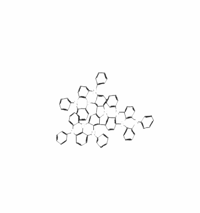 c1ccc(N2c3ccccc3B3c4c2cccc4N(c2ccccc2)c2ccc4c(c23)c2cc3c(c5c6ccc7c(c6n4c25)N(c2ccccc2)c2cccc4c2B7c2ccccc2N4c2ccccc2)N(c2ccccc2)c2cccc4c2B3c2ccccc2N4c2ccccc2)cc1